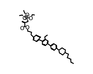 C=C(C[Si](OCC)(OCC)OCC)C(=O)OCCCc1ccc(-c2ccc(-c3ccc(C4CCC(CCCCC)CC4)cc3)cc2CC)cc1